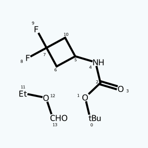 CC(C)(C)OC(=O)NC1CC(F)(F)C1.CCOC=O